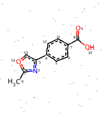 Cc1nc(-c2ccc(C(=O)O)cc2)co1